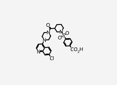 O=C(O)c1ccc(S(=O)(=O)N2CCCC(C(=O)N3CCN(c4ccnc5cc(Cl)ccc45)CC3)C2)cc1